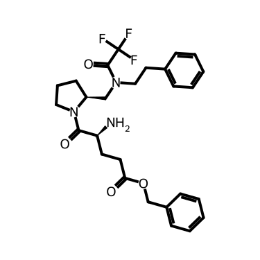 N[C@@H](CCC(=O)OCc1ccccc1)C(=O)N1CCC[C@H]1CN(CCc1ccccc1)C(=O)C(F)(F)F